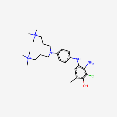 Cc1cc(Nc2ccc(N(CCC[N+](C)(C)C)CCC[N+](C)(C)C)cc2)c(N)c(Cl)c1O